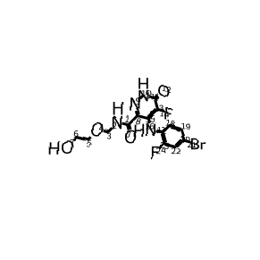 O=C(NCOCCO)c1n[nH]c(=O)c(F)c1Nc1ccc(Br)cc1F